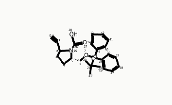 C#CC1CC[C@@H](CO[Si](c2ccccc2)(c2ccccc2)C(C)(C)C)N1C(=O)O